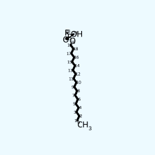 CCCCCCCCCCCCCCCCCCCCOP(=O)(O)F